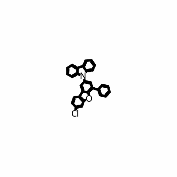 Clc1ccc2c(c1)oc1c(-c3ccccc3)cc(-n3c4ccccc4c4ccccc43)cc12